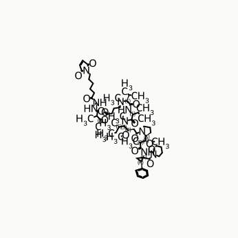 CC[C@H](C)[C@@H]([C@@H](CC(=O)N1CCC[C@H]1[C@H](OC)[C@@H](C)C(=O)N[C@@]1(C(=O)N2CCCCO2)C[C@@H]1c1ccccc1)OC)N(C)C(=O)[C@@H](NC(=O)[C@H](C(C)C)N(C)CCCC(=O)O[C@H](C)C(C)C(=O)NNC(=O)CCCCCN1C(=O)C=CC1=O)C(C)C